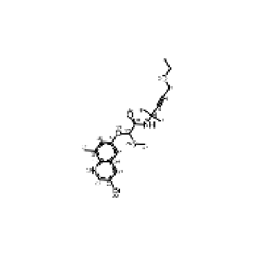 CCOCC#CC(C)(C)NC(=O)C(Oc1cc(C)c2ncc(Br)cc2c1)SC